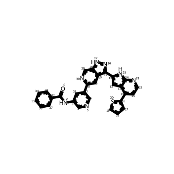 O=C(Nc1cncc(-c2cc3c(-c4cc5c(-c6cccs6)ccnc5[nH]4)n[nH]c3cn2)c1)c1ccccc1